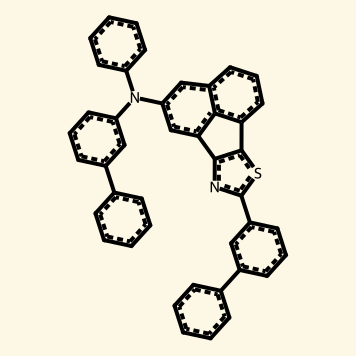 c1ccc(-c2cccc(-c3nc4c(s3)-c3cccc5cc(N(c6ccccc6)c6cccc(-c7ccccc7)c6)cc-4c35)c2)cc1